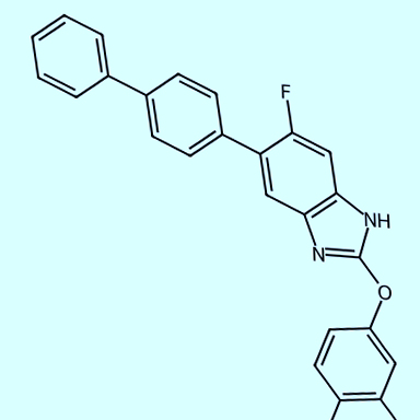 Cc1ccc(Oc2nc3cc(-c4ccc(-c5ccccc5)cc4)c(F)cc3[nH]2)cc1C